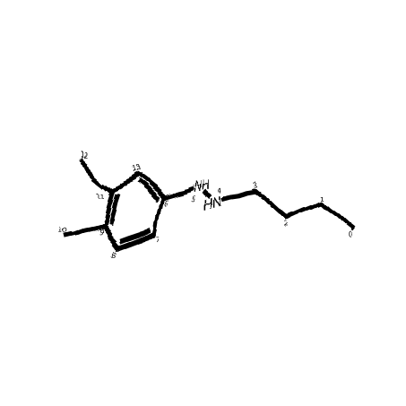 CCCCNNc1ccc(C)c(C)c1